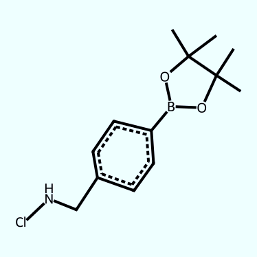 CC1(C)OB(c2ccc(CNCl)cc2)OC1(C)C